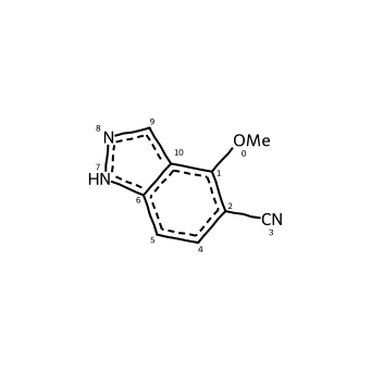 COc1c(C#N)ccc2[nH]ncc12